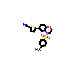 Cc1ccc(S(=O)(=O)N2CCOc3ccc(-c4ccc(C#N)s4)cc32)cc1